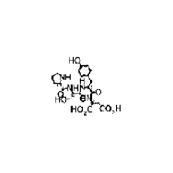 O=C(O)C[C@H](NC(=O)[C@H](Cc1ccc(O)cc1)NC(=O)[C@H](CO)NC(=O)[C@@H]1CCCN1)C(=O)O